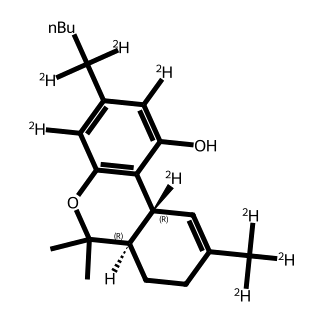 [2H]c1c(O)c2c(c([2H])c1C([2H])([2H])CCCC)OC(C)(C)[C@@H]1CCC(C([2H])([2H])[2H])=C[C@@]21[2H]